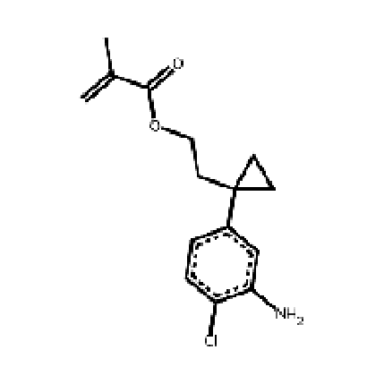 C=C(C)C(=O)OCCC1(c2ccc(Cl)c(N)c2)CC1